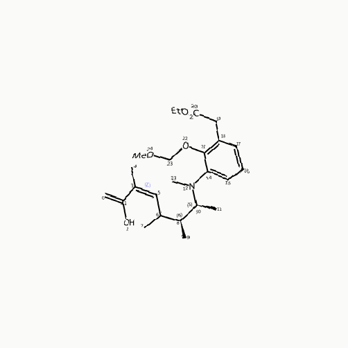 C=C(O)/C(C)=C\C(C)[C@H](C)[C@H](C)N(C)c1cccc(CC(=O)OCC)c1OCOC